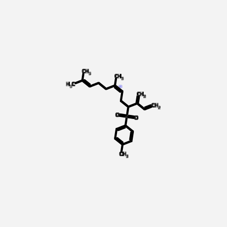 C=CC(=C)C(C/C=C(/C)CCC=C(C)C)S(=O)(=O)c1ccc(C)cc1